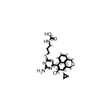 C1CC1.Nc1nc(SCCCNC(=O)O)nc(-c2c(Cl)cc3c4c(cccc24)COC3)n1